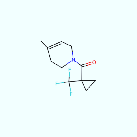 CC1=CCN(C(=O)C2(C(F)(F)F)CC2)CC1